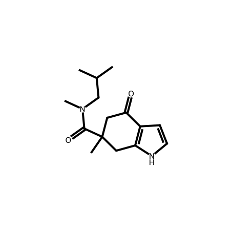 CC(C)CN(C)C(=O)C1(C)CC(=O)c2cc[nH]c2C1